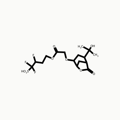 CC(C)(O)C1CC(OCC(=O)OCCC(F)C(F)(F)S(=O)(=O)O)C2CC1C(=O)O2